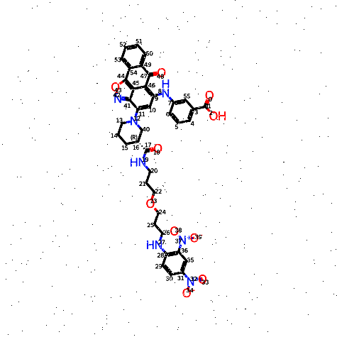 O=C(O)c1cccc(Nc2cc(N3CCC[C@@H](C(=O)NCCCOCCCNc4ccc([N+](=O)[O-])cc4[N+](=O)[O-])C3)c3noc4c3c2C(=O)c2ccccc2-4)c1